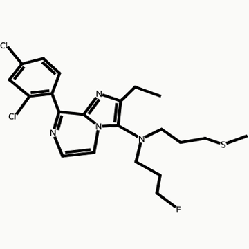 CCc1nc2c(-c3ccc(Cl)cc3Cl)nccn2c1N(CCCF)CCCSC